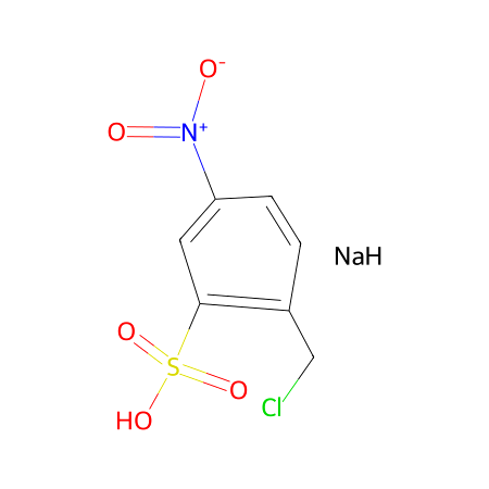 O=[N+]([O-])c1ccc(CCl)c(S(=O)(=O)O)c1.[NaH]